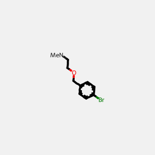 CNCCOCc1ccc(Br)cc1